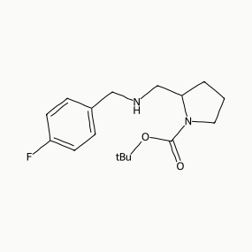 CC(C)(C)OC(=O)N1CCCC1CNCc1ccc(F)cc1